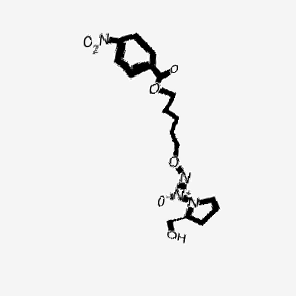 O=C(OCCCCCO/N=[N+](\[O-])N1CCC[C@H]1CO)c1ccc([N+](=O)[O-])cc1